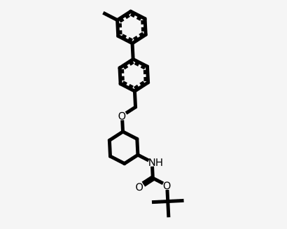 Cc1cccc(-c2ccc(COC3CCCC(NC(=O)OC(C)(C)C)C3)cc2)c1